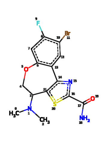 CN(C)C1COc2cc(F)c(Br)cc2-c2nc(C(N)=O)sc21